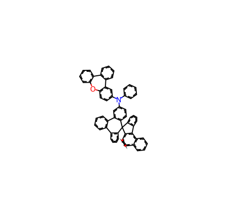 c1ccc(N(c2ccc3c(c2)-c2ccccc2-c2ccccc2O3)c2ccc3c(c2)-c2ccccc2-c2ccccc2C32c3ccccc3-c3c2c2ccccc2c2ccccc32)cc1